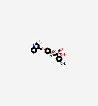 Cc1ccc(C(C)(CS(=O)(=O)c2ccc(OCc3cc(C)nc4ccccc34)cc2)N(O)C=O)cc1